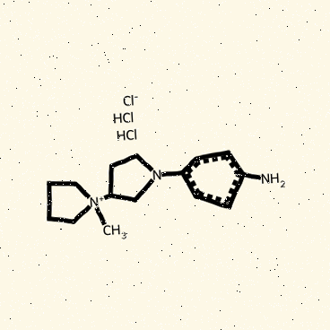 C[N+]1(C2CCN(c3ccc(N)cc3)C2)CCCC1.Cl.Cl.[Cl-]